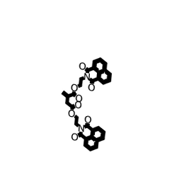 C=C(CC(=O)OCCN1C(=O)c2cccc3cccc(c23)C1=O)C(=O)OCCN1C(=O)c2cccc3cccc(c23)C1=O